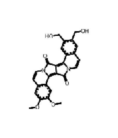 COc1cc2c(cc1OC)C1=C3C(=O)N4C=Cc5cc(CO)c(CO)cc5C4=C3C(=O)N1C=C2